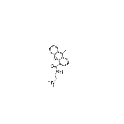 Cc1c2ccccc2nc2c(C(=O)NCCN(C)C)cccc12